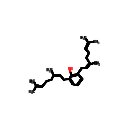 CC(C)=CCCC(C)=CCc1cccc(CC=C(C)CCC=C(C)C)c1O